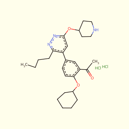 CCCCc1nnc(OC2CCNCC2)cc1-c1ccc(OC2CCCCC2)c(C(C)=O)c1.Cl.Cl